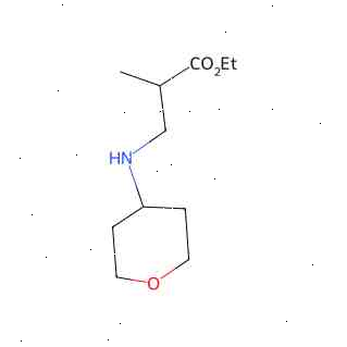 CCOC(=O)C(C)CNC1CCOCC1